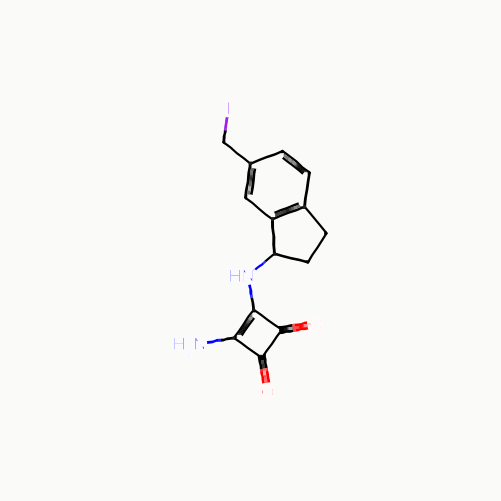 Nc1c(NC2CCc3ccc(CI)cc32)c(=O)c1=O